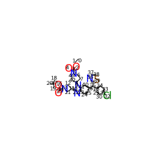 CCOC(=O)N1CCC(n2c(C3CN(C(=O)OC(C)(C)C)C3)nc3ccc(C(c4ccc(Cl)cc4)c4nccs4)cc32)CC1